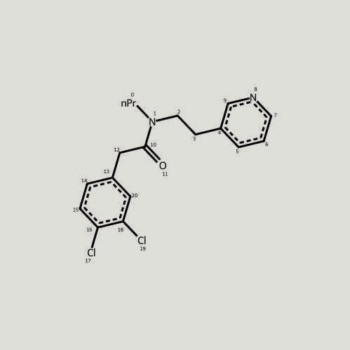 CCCN(CCc1cccnc1)C(=O)Cc1ccc(Cl)c(Cl)c1